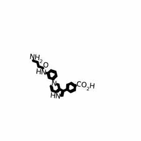 NCCCC(=O)Nc1cccc(N2C=Cc3[nH]cc(-c4ccc(C(=O)O)cc4)c3C2)c1